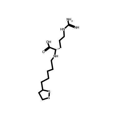 N=C(N)NCCC[C@H](NCCCCCC1CCSS1)C(=O)O